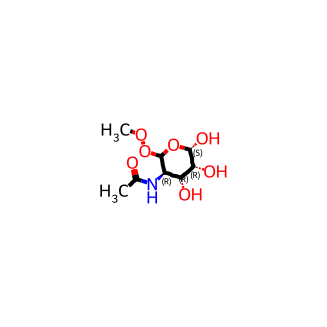 COOC1O[C@H](O)[C@H](O)[C@H](O)[C@H]1NC(C)=O